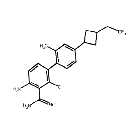 Cc1cc(C2CC(CC(F)(F)F)C2)ccc1-c1ccc(N)c(C(=N)N)c1Cl